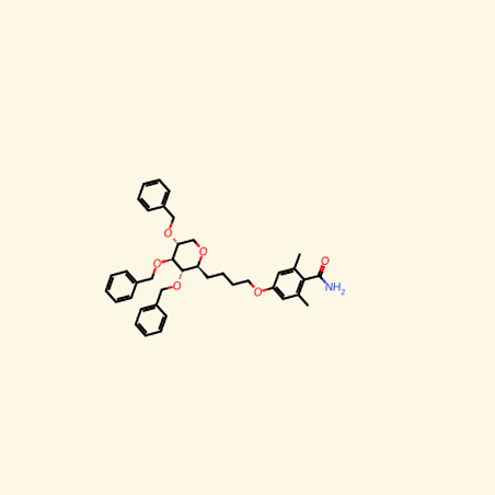 Cc1cc(OCCCC[C@@H]2OC[C@@H](OCc3ccccc3)[C@H](OCc3ccccc3)[C@H]2OCc2ccccc2)cc(C)c1C(N)=O